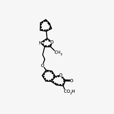 Cc1oc(-c2ccccc2)nc1CCOc1ccc2cc(C(=O)O)c(=O)oc2c1